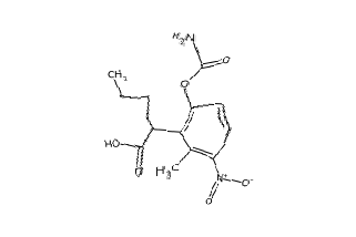 CCCC(C(=O)O)c1c(OC(N)=O)ccc([N+](=O)[O-])c1C